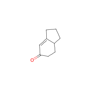 O=C1C=C2CCCC2CC1